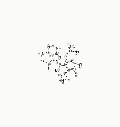 CC(C)(C)OC=O.CCOc1c(C(C)n2nc(C(F)F)c3c(N)ncnc32)cc(Cl)c(F)c1C1CNC1